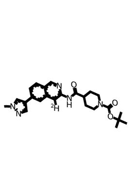 [2H]c1c(NC(=O)C2CCN(C(=O)OC(C)(C)C)CC2)ncc2ccc(-c3cnn(C)c3)cc12